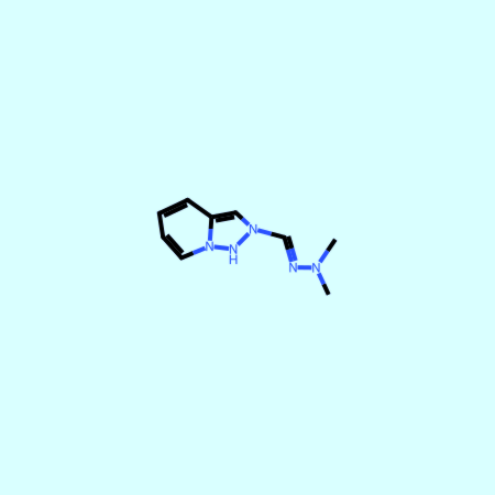 CN(C)N=CN1C=C2C=CC=CN2N1